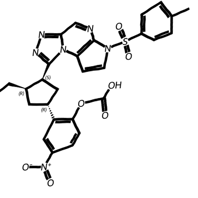 CC[C@@H]1C[C@@H](c2cc([N+](=O)[O-])ccc2OC(=O)O)C[C@@H]1c1nnc2cnc3c(ccn3S(=O)(=O)c3ccc(C)cc3)n12